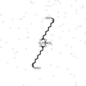 CCCCCCCC/C=C\CCCCCCCC(=O)[O][Sn]([CH3])([CH3])[O]C(=O)CCCCCCC/C=C\CCCCCCCC